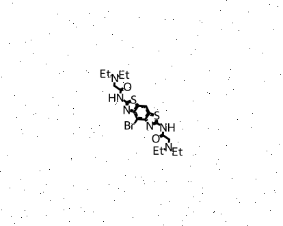 CCN(CC)CC(=O)Nc1nc2c(Br)c3nc(NC(=O)CN(CC)CC)sc3cc2s1